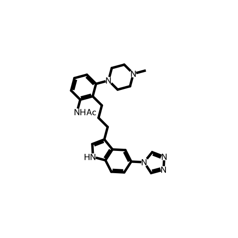 CC(=O)Nc1cccc(N2CCN(C)CC2)c1CCCc1c[nH]c2ccc(-n3cnnc3)cc12